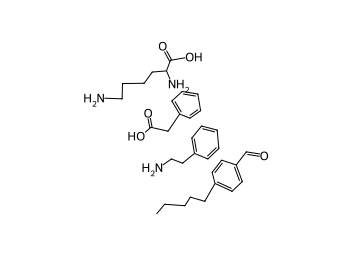 CCCCCc1ccc(C=O)cc1.NCCCCC(N)C(=O)O.NCCc1ccccc1.O=C(O)Cc1ccccc1